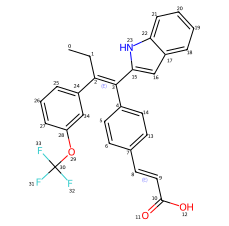 CC/C(=C(/c1ccc(/C=C/C(=O)O)cc1)c1cc2ccccc2[nH]1)c1cccc(OC(F)(F)F)c1